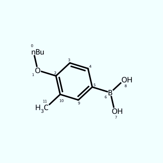 CCCCOc1ccc(B(O)O)cc1C